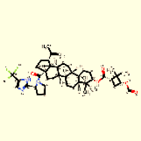 C=C(C)[C@@H]1CC[C@]2(C(=O)N3CCC[C@H]3c3ncc(C(F)(F)F)[nH]3)CC[C@]3(C)[C@H](CC[C@@H]4[C@@]5(C)CC[C@H](OC(=O)[C@H]6C[C@@H](OC=O)C6(C)C)C(C)(C)[C@@H]5CC[C@]43C)[C@@H]12